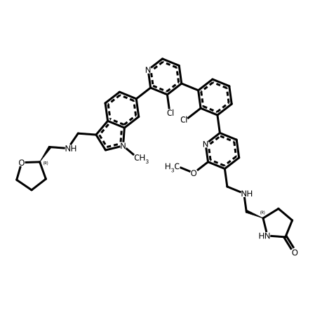 COc1nc(-c2cccc(-c3ccnc(-c4ccc5c(CNC[C@H]6CCCO6)cn(C)c5c4)c3Cl)c2Cl)ccc1CNC[C@H]1CCC(=O)N1